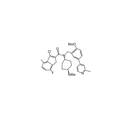 CN[C@H]1CC[C@@H](N(Cc2cc(-c3ccnc(C)c3)ccc2OC)C(=O)C2=C(Cl)c3c(C)ccc(F)c3C2)CC1